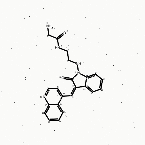 NCC(=O)NCCNN1C(=O)C(=Cc2ccnc3ccccc23)c2ccccc21